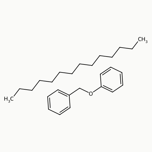 CCCCCCCCCCCCCC.c1ccc(COc2ccccc2)cc1